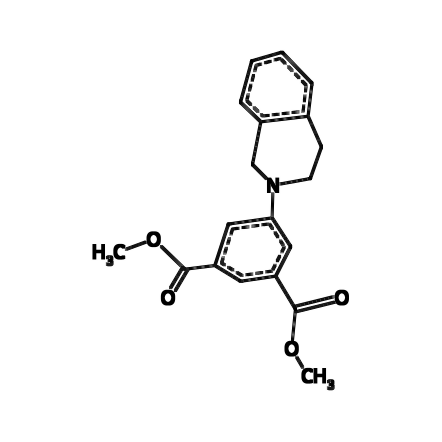 COC(=O)c1cc(C(=O)OC)cc(N2CCc3ccccc3C2)c1